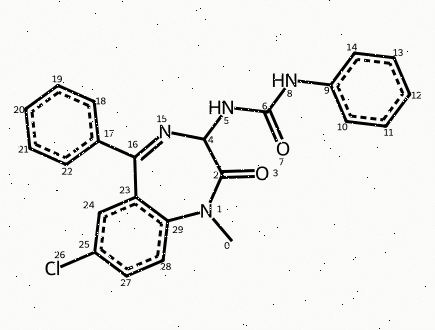 CN1C(=O)C(NC(=O)Nc2ccccc2)N=C(c2ccccc2)c2cc(Cl)ccc21